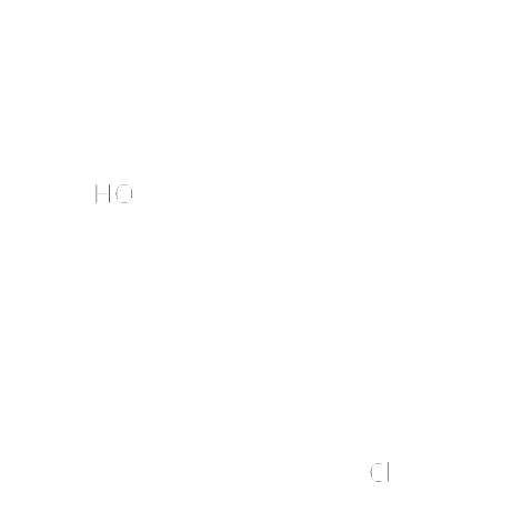 CC(c1ccc(Cl)cc1)c1cccc(O)c1